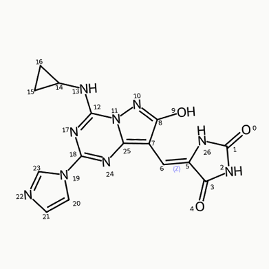 O=C1NC(=O)/C(=C/c2c(O)nn3c(NC4CC4)nc(-n4ccnc4)nc23)N1